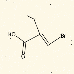 CC/C(=C\Br)C(=O)O